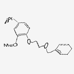 COc1cc(C(C)C)ccc1OCCOCC1=CCCC=C1